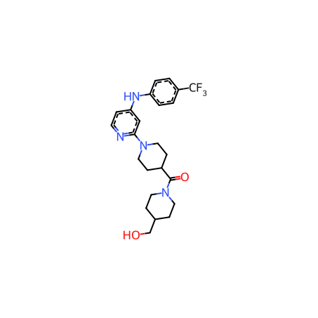 O=C(C1CCN(c2cc(Nc3ccc(C(F)(F)F)cc3)ccn2)CC1)N1CCC(CO)CC1